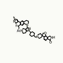 CC(=O)N1CCc2c(c(N3CCCc4cc(-c5cnn(C)c5)c(C(F)F)cc43)nn2C2CCC(CN3CCC4(CC3)COc3c4ccc4c3CNC4=O)CC2)C1